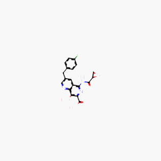 O=C(O)c1nc(NC(=O)C2CO2)c2cc(Cc3ccc(F)cc3)cnc2c1O